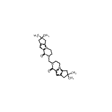 CC1(C)Cc2cc3n(c2C1)CCN(CN1CCn2c(cc4c2CC(C)(C)C4)C1=O)C3=O